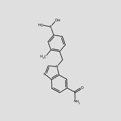 Cc1cc(B(O)O)ccc1Cn1cnc2ccc(C(N)=O)cc21